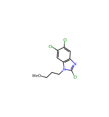 COCCCn1c(Cl)nc2cc(Cl)c(Cl)cc21